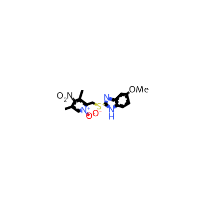 COc1ccc2[nH]c([S+]([O-])Cc3c(C)c([N+](=O)[O-])c(C)c[n+]3[O-])nc2c1